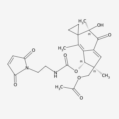 CC(=O)OC[C@]1(C)C=C2C(=O)[C@](C)(O)C3(CC3)C(C)=C2[C@H]1OC(=O)NCCN1C(=O)C=CC1=O